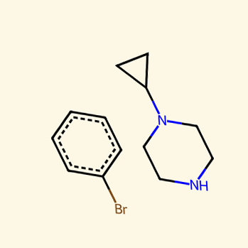 Brc1ccccc1.C1CN(C2CC2)CCN1